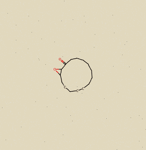 O=C1CCCCCCCCCCCCC2OC12